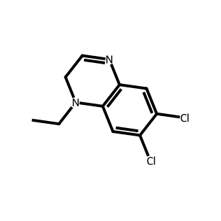 CCN1CC=Nc2cc(Cl)c(Cl)cc21